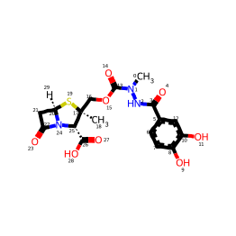 CN(NC(=O)c1ccc(O)c(O)c1)C(=O)OC[C@]1(C)S[C@@H]2CC(=O)N2[C@H]1C(=O)O